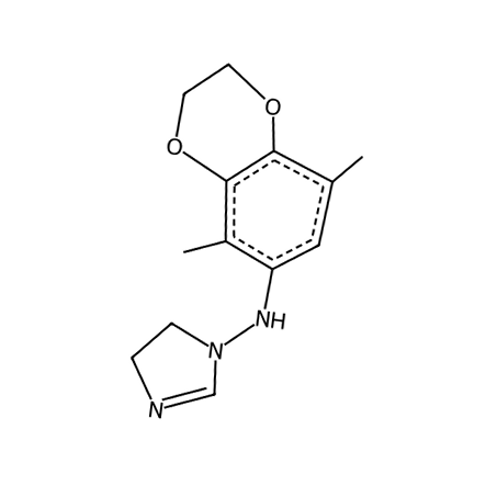 Cc1cc(NN2C=NCC2)c(C)c2c1OCCO2